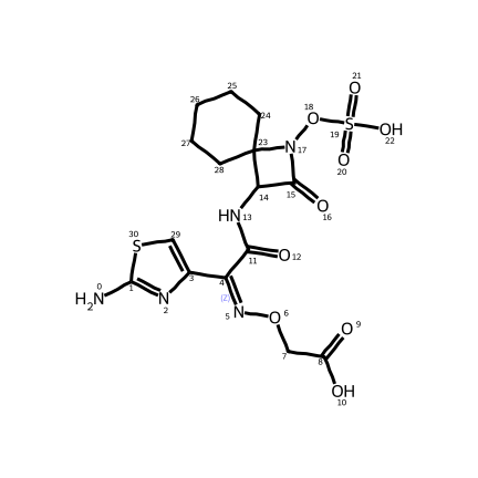 Nc1nc(/C(=N/OCC(=O)O)C(=O)NC2C(=O)N(OS(=O)(=O)O)C23CCCCC3)cs1